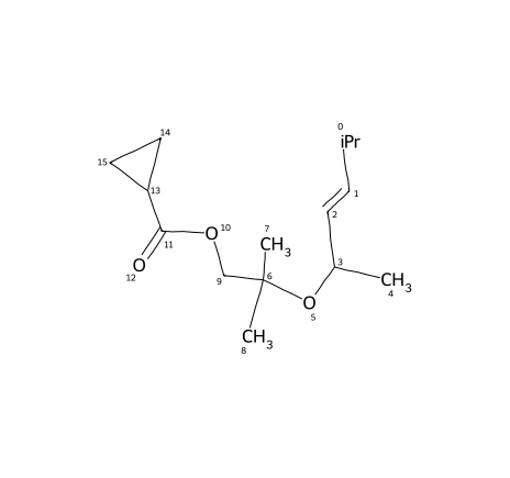 CC(C)C=CC(C)OC(C)(C)COC(=O)C1CC1